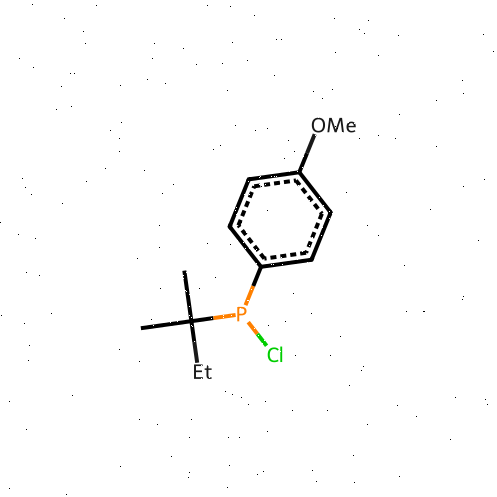 CCC(C)(C)P(Cl)c1ccc(OC)cc1